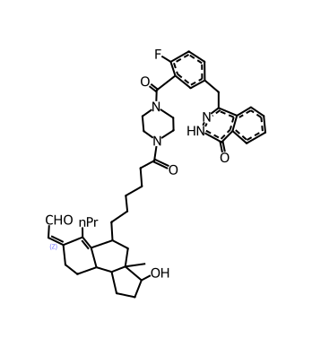 CCCC1=C2C(CCCCCC(=O)N3CCN(C(=O)c4cc(Cc5n[nH]c(=O)c6ccccc56)ccc4F)CC3)CC3(C)C(O)CCC3C2CC/C1=C/C=O